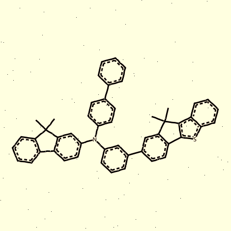 CC1(C)c2ccccc2-c2ccc(N(c3ccc(-c4ccccc4)cc3)c3cccc(-c4ccc5c(c4)C(C)(C)c4c-5sc5ccccc45)c3)cc21